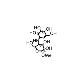 CO[C@H]1O[C@H](CO)[C@@H](N[C@@H]2C=C(CO)[C@@H](O)[C@H](O)[C@H]2O)[C@H](O)[C@H]1O